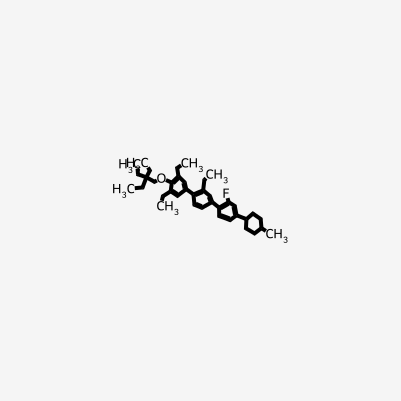 CCc1cc(-c2ccc(C3CCC(C)CC3)cc2F)ccc1-c1cc(CC)c(OCC(CC)(CC)CC)c(CC)c1